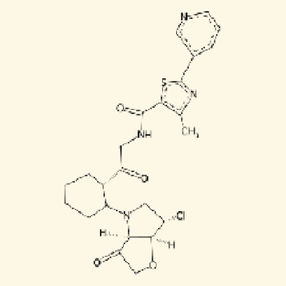 Cc1nc(-c2cccnc2)sc1C(=O)NCC(=O)[C@H]1CCCCC1N1C[C@H](Cl)[C@H]2OCC(=O)[C@H]21